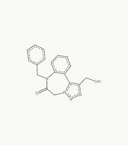 CC(=O)OCc1nnn2c1-c1ccccc1N(Cc1ccccc1)C(=O)C2